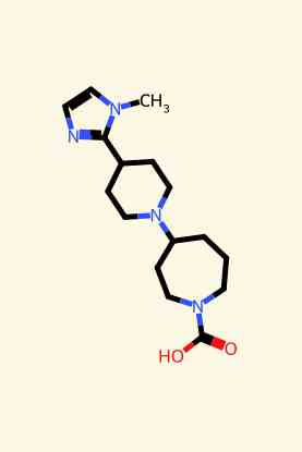 Cn1ccnc1C1CCN(C2CCCN(C(=O)O)CC2)CC1